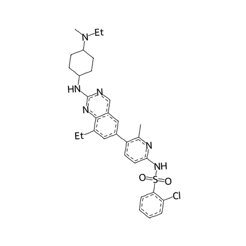 CCc1cc(-c2ccc(NS(=O)(=O)c3ccccc3Cl)nc2C)cc2cnc(NC3CCC(N(C)CC)CC3)nc12